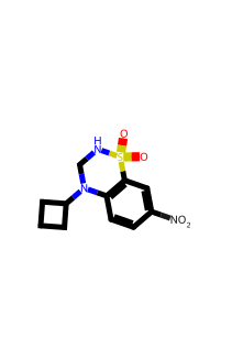 O=[N+]([O-])c1ccc2c(c1)S(=O)(=O)NCN2C1CCC1